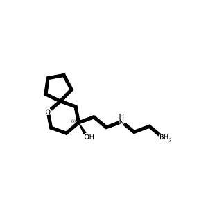 BCCNCC[C@]1(O)CCOC2(CCCC2)C1